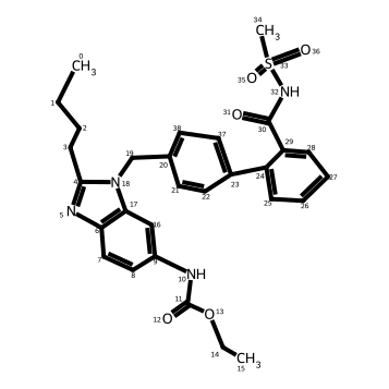 CCCCc1nc2ccc(NC(=O)OCC)cc2n1Cc1ccc(-c2ccccc2C(=O)NS(C)(=O)=O)cc1